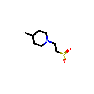 CCC1CCN(CC[SH](=O)=O)CC1